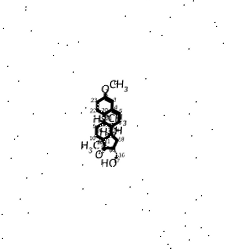 COC1=CC2=CC[C@@H]3[C@H](CC[C@]4(C)C(=O)[C@@H](CO)C[C@@H]34)[C@@]2(C)CC1